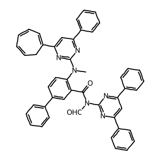 CN(c1nc(C2=CC=CC=CC2)cc(-c2ccccc2)n1)c1ccc(-c2ccccc2)cc1C(=O)N(C=O)c1nc(-c2ccccc2)cc(-c2ccccc2)n1